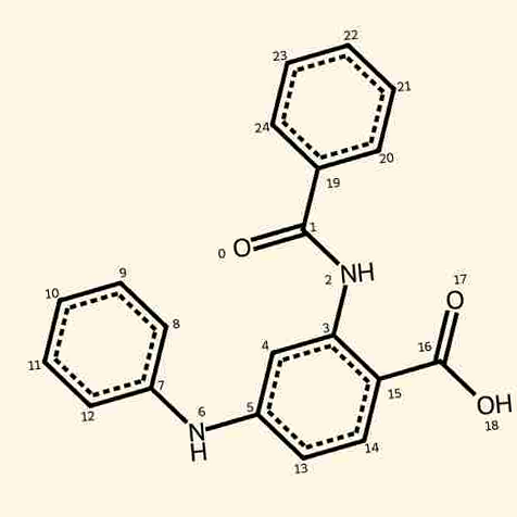 O=C(Nc1cc(Nc2ccccc2)ccc1C(=O)O)c1ccccc1